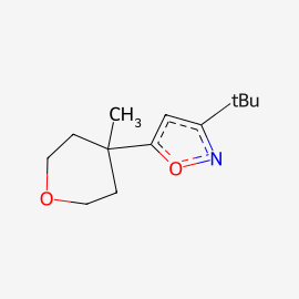 CC(C)(C)c1cc(C2(C)CCOCC2)on1